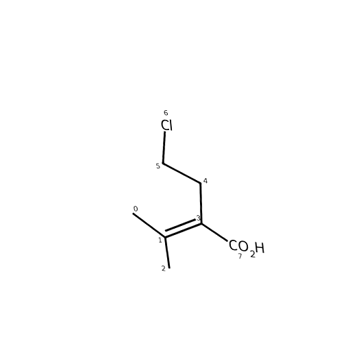 CC(C)=C(CCCl)C(=O)O